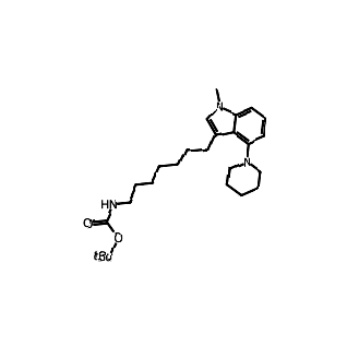 Cn1cc(CCCCCCCNC(=O)OC(C)(C)C)c2c(N3CCCCC3)cccc21